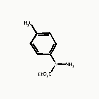 CCOC(=O)N(N)c1ccc(C)cc1